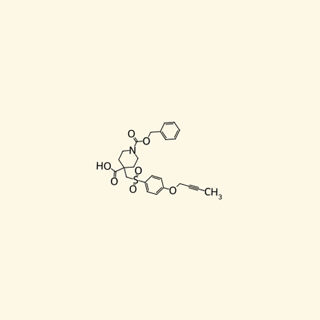 CC#CCOc1ccc(S(=O)(=O)CC2(C(=O)O)CCN(C(=O)OCc3ccccc3)CC2)cc1